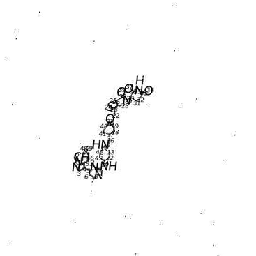 Cn1ncc(-c2ccnc(N[C@H]3CC[C@H](NCc4ccc(OCc5scc6c5CN(C5CCC(=O)NC5=O)C6=O)cc4)CC3)n2)c1CC1CC1